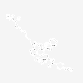 C=CC(=O)OCCCCCCOc1ccc(C(=O)O)c(-c2ccc(OC(=O)C3CCC(CCCC)CC3)cc2C(=NNCC)c2nc3ccccc3s2)c1